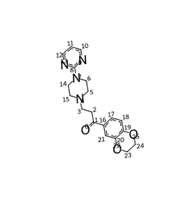 O=C(CCN1CCN(c2ncccn2)CC1)c1ccc2c(c1)OCCO2